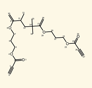 C#CC(=O)OCCCOC(=C)C(C)CC(C)(C)C(=C)OCCCOC(=O)C#C